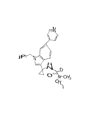 CC(C)Cn1cc(C2(NS(=O)(=O)N(C)C)CC2)c2ccc(-c3ccncc3)cc21